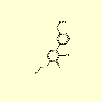 CC(=O)NCc1cccc(-c2ccn(CCC(C)C)c(=O)c2C#N)c1